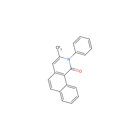 O=c1c2c(ccc3ccccc32)cc(C(F)(F)F)n1-c1ccccc1